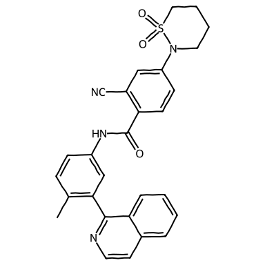 Cc1ccc(NC(=O)c2ccc(N3CCCCS3(=O)=O)cc2C#N)cc1-c1nccc2ccccc12